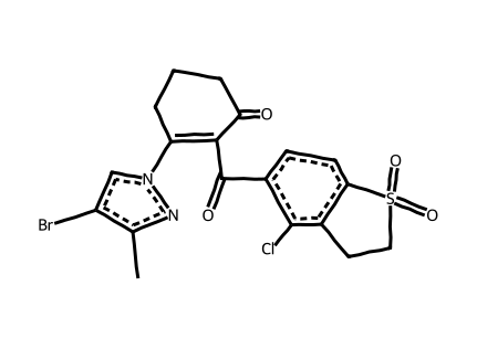 Cc1nn(C2=C(C(=O)c3ccc4c(c3Cl)CCS4(=O)=O)C(=O)CCC2)cc1Br